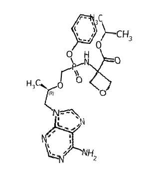 CC(C)OC(=O)C1(NP(=O)(CO[C@H](C)Cn2cnc3c(N)ncnc32)Oc2ccccc2)COC1